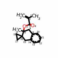 C=C(C)C(=O)OC1(C)Cc2ccccc2CC12CC2